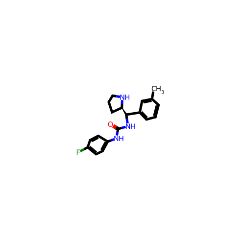 Cc1cccc(C(NC(=O)Nc2ccc(F)cc2)[C@H]2CCCN2)c1